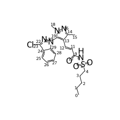 CCCCCS(=O)(=O)NC(=O)/C=C/c1c(C)nn(C)c1-n1nc(Cl)c2ccccc21